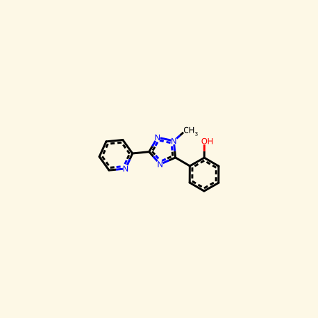 Cn1nc(-c2ccccn2)nc1-c1ccccc1O